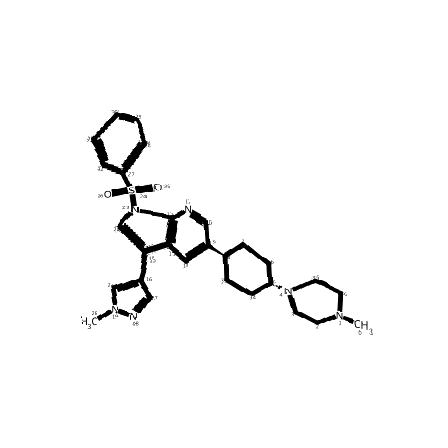 CN1CCN([C@H]2CC[C@H](c3cnc4c(c3)c(-c3cnn(C)c3)cn4S(=O)(=O)c3ccccc3)CC2)CC1